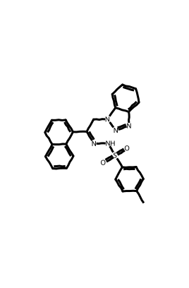 Cc1ccc(S(=O)(=O)NN=C(Cn2nnc3ccccc32)c2cccc3ccccc23)cc1